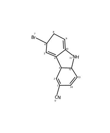 N#CC1=CC2C3=CC(Br)CC=C3NC2C=C1